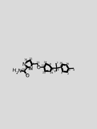 Cc1ccc(C(C)(C)c2ccc(OCc3ccnc(C(N)=O)n3)cc2)cc1